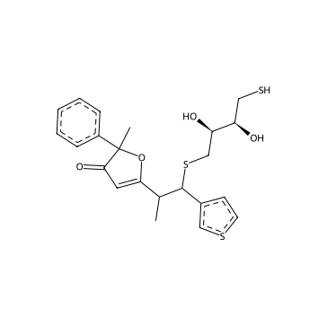 CC(C1=CC(=O)C(C)(c2ccccc2)O1)C(SC[C@@H](O)[C@H](O)CS)c1ccsc1